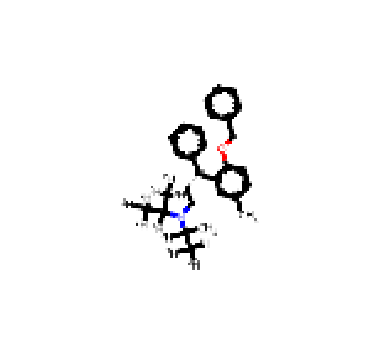 [2H]C([2H])([2H])C([2H])(C)N(CC[C@H](c1ccccc1)c1cc(C)ccc1OCc1ccccc1)C([2H])(C([2H])([2H])[2H])C([2H])([2H])[2H]